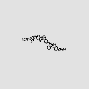 CCCCCCCCNC(=O)c1ccc2[nH]c(-c3ccc(NC(=O)c4ccc(OC)cc4)cc3)nc2c1